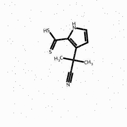 CC(C)(C#N)c1cc[nH]c1C(=S)S